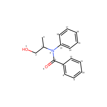 CC(CO)N(C(=O)c1ccccc1)c1ccccc1